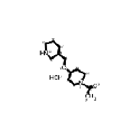 CC(=O)N1CCC(OCC2CCCNC2)CC1.Cl